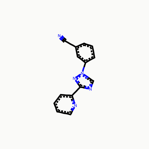 N#Cc1cccc(-n2cnc(-c3ccccn3)n2)c1